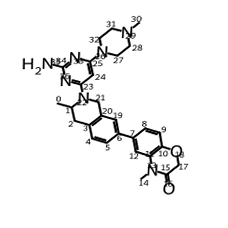 CC1Cc2ccc(-c3ccc4c(c3)N(C)C(=O)CO4)cc2CN1c1cc(N2CCN(C)CC2)nc(N)n1